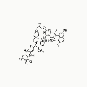 C#Cc1c(F)ccc2cc(O)cc(-c3ncc4c(N5CC6CCC(C5)N6)nc(OCC5(CN6CCC7(CC6)CCN(/C(C=C)=C(F)/C=C(\C)NC6CCC(=O)NC6=O)CC7)CC5)nc4c3F)c12